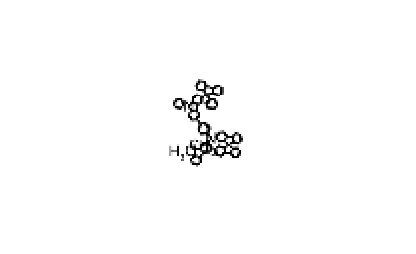 CC1(C)c2ccccc2-c2ccc(N(c3ccc(C4=CC5c6cc(C7(c8ccccc8)c8ccccc8-c8ccccc87)ccc6N(c6ccccc6)C5C=C4)cc3)c3ccc4c(c3)C3(c5ccccc5-c5ccccc53)c3ccccc3-4)cc21